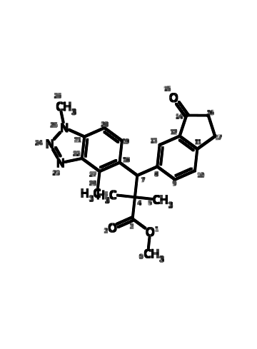 COC(=O)C(C)(C)C(c1ccc2c(c1)C(=O)CC2)c1ccc2c(nnn2C)c1C